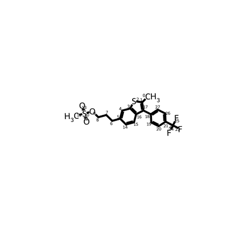 Cc1sc2cc(CCCOS(C)(=O)=O)ccc2c1-c1ccc(C(F)(F)F)cc1